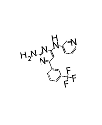 Nc1nc(Nc2cccnc2)cc(-c2cccc(C(F)(F)F)c2)n1